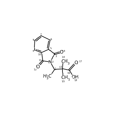 CC(N1C(=O)c2ccccc2C1=O)C(C)(C)C(=O)O